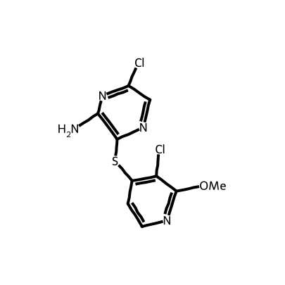 COc1nccc(Sc2ncc(Cl)nc2N)c1Cl